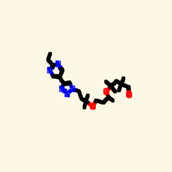 CCc1ncc(-c2cn(CCC(C)(C)OCCC(C)OC(C)(C)CC(C)(C)C=O)nn2)cn1